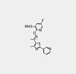 CSc1cc(F)cnc1O/N=C(\C)c1sc(-c2cccnc2)nc1C